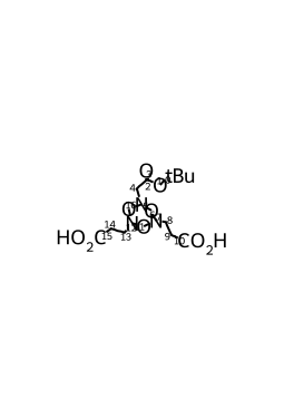 CC(C)(C)OC(=O)CN1ON(CCC(=O)O)ON(CCC(=O)O)O1